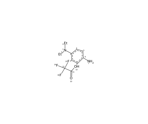 CCN(CC)c1ccc(N)cc1.O=C(O)C(F)(F)F